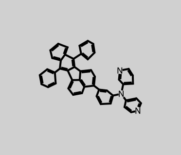 c1ccc(-c2c3c(c(-c4ccccc4)c4ccccc24)-c2ccc(-c4cccc(N(c5ccncc5)c5cccnc5)c4)c4cccc-3c24)cc1